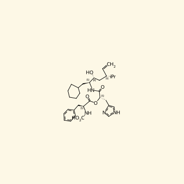 C=C[C@@H](C[C@@H](O)[C@H](CC1CCCCC1)NC(=O)[C@H](Cc1c[nH]cn1)OC(=O)[C@H](Cc1ccccc1)NC(=O)O)C(C)C